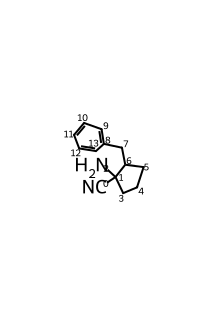 N#CC1(N)CCCC1Cc1ccccc1